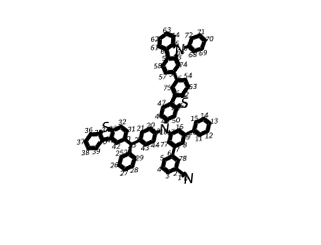 N#Cc1cccc(-c2cc(-c3ccccc3)cc(N(c3ccc(C(c4ccccc4)c4ccc5sc6ccccc6c5c4)cc3)c3ccc4c(c3)sc3ccc(-c5ccc6c7ccccc7n(-c7ccccc7)c6c5)cc34)c2)c1